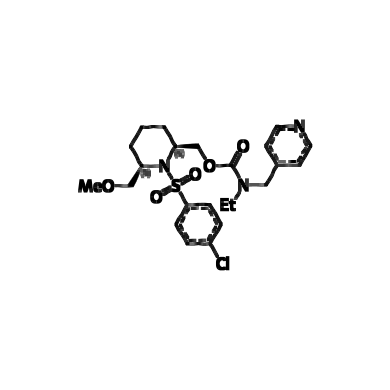 CCN(Cc1ccncc1)C(=O)OC[C@@H]1CCC[C@H](COC)N1S(=O)(=O)c1ccc(Cl)cc1